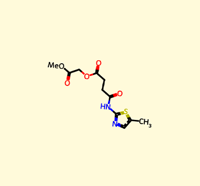 COC(=O)COC(=O)CCC(=O)Nc1ncc(C)s1